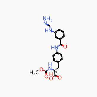 COC(=O)N[C@@H](Cc1ccc(NC(=O)c2cccc(NC=NN)c2)cc1)C(=O)O